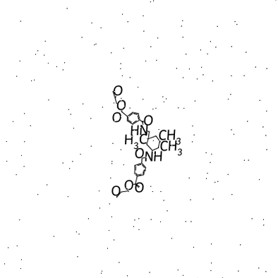 CC1(C)CC(NC(=O)c2ccc(C(=O)OCC3CO3)cc2)CC(C)(CNC(=O)c2ccc(C(=O)OCC3CO3)cc2)C1